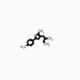 C=CC(=C)CC1=C(C)N=C(C2=CCC(C)C=C2)C1